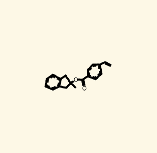 C=Cc1ccc(C(=O)OC2(C)Cc3ccccc3C2)cc1